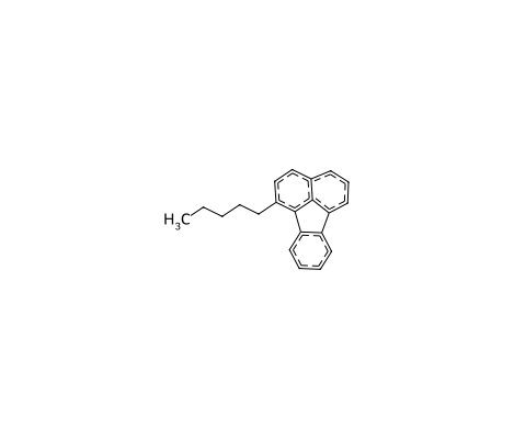 CCCCCc1ccc2cccc3c2c1-c1ccccc1-3